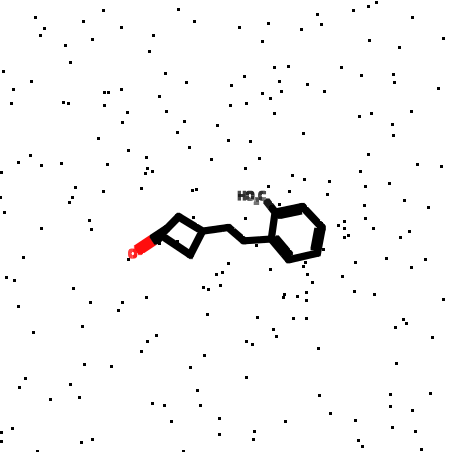 O=C1CC(CCc2ccccc2C(=O)O)C1